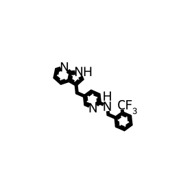 FC(F)(F)c1ccccc1CNc1ccc(Cc2c[nH]c3ncccc23)cn1